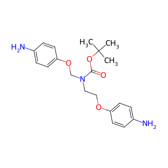 CC(C)(C)OC(=O)N(CCOc1ccc(N)cc1)COc1ccc(N)cc1